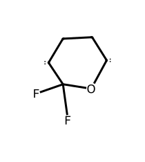 FC1(F)[C]CC[C]O1